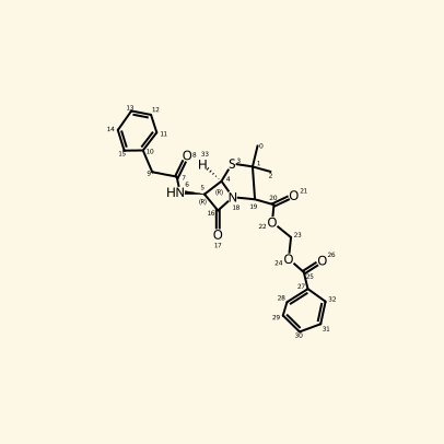 CC1(C)S[C@@H]2[C@H](NC(=O)Cc3ccccc3)C(=O)N2C1C(=O)OCOC(=O)c1ccccc1